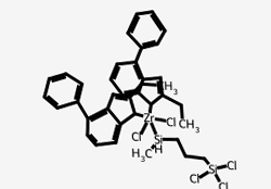 CCC1=Cc2c(-c3ccccc3)cccc2[CH]1[Zr]([Cl])([Cl])([CH]1C(CC)=Cc2c(-c3ccccc3)cccc21)[SiH](C)CCC[Si](Cl)(Cl)Cl